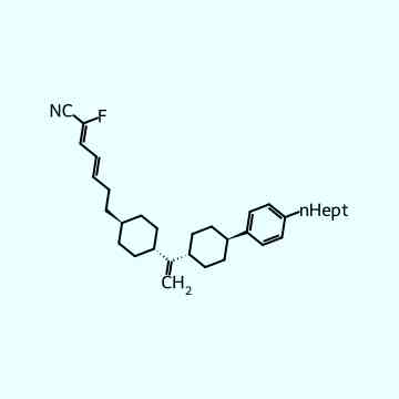 C=C([C@H]1CC[C@H](CC/C=C/C=C(\F)C#N)CC1)[C@H]1CC[C@H](c2ccc(CCCCCCC)cc2)CC1